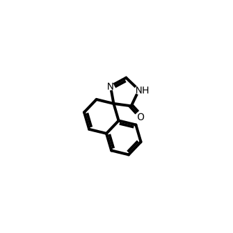 O=C1NC=NC12CC=Cc1ccccc12